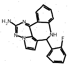 Nc1nc2c3c(ccn3n1)C(c1ccccc1F)Nc1ccccc1-2